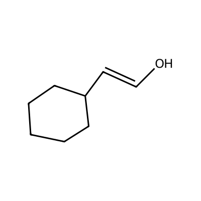 OC=CC1CCCCC1